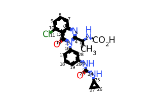 CC(NC(=O)O)c1nc2cccc(Cl)c2c(=O)n1-c1cccc(NC(=O)NC2CC2)c1